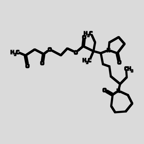 CCC(CCCC(N1CCCC1=O)C(C)(CC)C(=O)OCCOC(=O)CC(C)=O)N1CCCCCC1=O